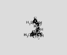 COc1cc(Cl)cc2[nH]c(C(=O)NCC(=O)N[C@@H](C[C@@H]3CCCNC3=O)C(=O)COC(=O)c3c(C)cc(C)nc3C)cc12